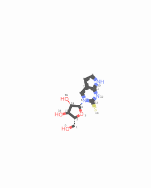 OC[C@H]1O[C@@H](n2cc3cc[nH]c3nc2=S)[C@@H](O)C1O